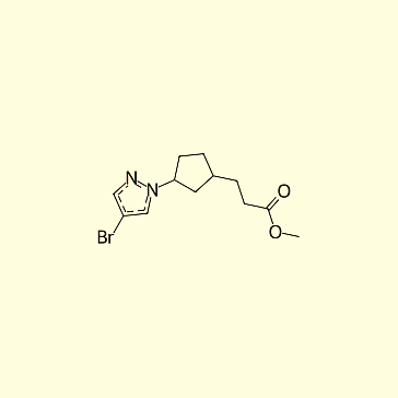 COC(=O)CCC1CCC(n2cc(Br)cn2)C1